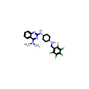 CN(C)c1nc(N[C@H]2CC[C@@H](NCc3c(F)c(F)c(F)c(F)c3F)CC2)nc2ccccc12